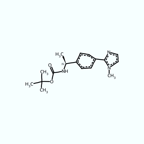 C[C@H](NC(=O)OC(C)(C)C)c1ccc(-c2nccn2C)cc1